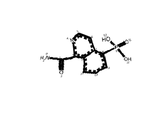 NC(=O)c1nccc2c(P(=O)(O)O)cccc12